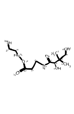 CC(C)(CO)[C@@H](O)C(=O)NCCC(=O)ONCCS